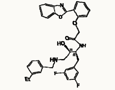 CCc1cccc(CNC[C@@H](O)[C@H](Cc2cc(F)cc(F)c2)NC(=O)COc2ccccc2-c2nc3ccccc3o2)c1